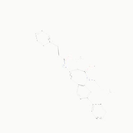 CCOC(=O)CN1C(=O)[C@@H](SC(C)=O)C(NC(=O)CCc2ccccc2)=Cc2ccc(-c3ccccc3)cc21